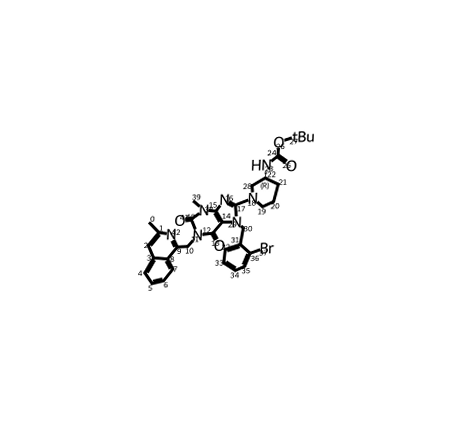 Cc1cc2ccccc2c(Cn2c(=O)c3c(nc(N4CCC[C@@H](NC(=O)OC(C)(C)C)C4)n3Cc3ccccc3Br)n(C)c2=O)n1